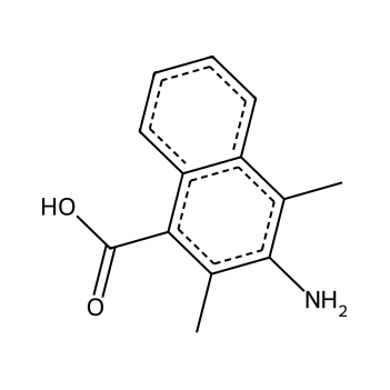 Cc1c(N)c(C)c2ccccc2c1C(=O)O